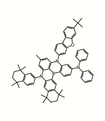 Cc1cc2c3c(c1)N(c1ccc4c(c1)C(C)(C)CCC4(C)C)c1cc4c(cc1B3c1ccc(N(c3ccccc3)c3ccccc3)cc1N2c1ccc2c(c1)oc1cc(C(C)(C)C)ccc12)C(C)(C)CCC4(C)C